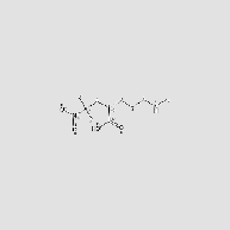 CNCCC[C@@H](CC(C)(C)[N+](=O)[O-])C(=O)O